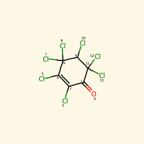 O=C1C(Cl)=C(Cl)C(Cl)(Cl)C(Cl)C1(Cl)Cl